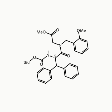 COC(=O)CN(Cc1ccccc1OC)C(=O)[C@@H](NC(=O)OC(C)(C)C)C(c1ccccc1)c1ccccc1